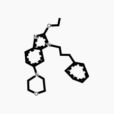 CCOc1nc2ccc(N3CCOCC3)cc2n1CCCc1ccccc1